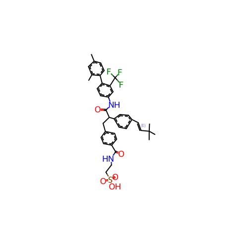 Cc1ccc(-c2ccc(NC(=O)C(Cc3ccc(C(=O)NCCS(=O)(=O)O)cc3)c3ccc(/C=C/C(C)(C)C)cc3)cc2C(F)(F)F)c(C)c1